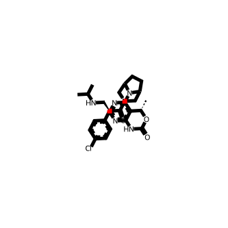 CC(C)NC[C@@H](C(=O)N1CC2CCC(C1)N2c1ncnc2c1[C@H](C)OC(=O)N2)c1ccc(Cl)cc1